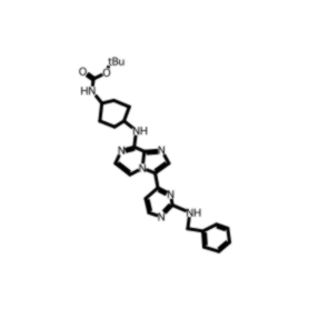 CC(C)(C)OC(=O)NC1CCC(Nc2nccn3c(-c4ccnc(NCc5ccccc5)n4)cnc23)CC1